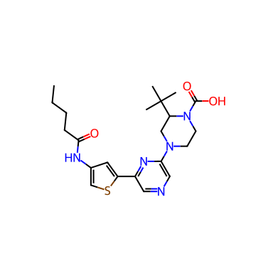 CCCCC(=O)Nc1csc(-c2cncc(N3CCN(C(=O)O)C(C(C)(C)C)C3)n2)c1